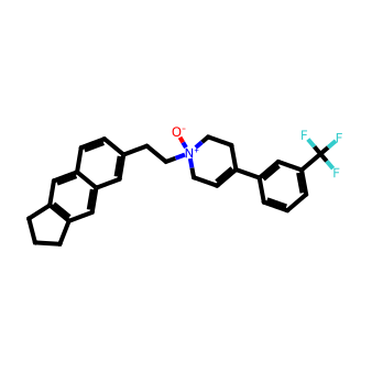 [O-][N+]1(CCc2ccc3cc4c(cc3c2)CCC4)CC=C(c2cccc(C(F)(F)F)c2)CC1